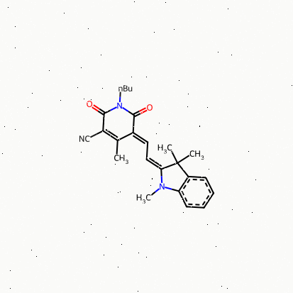 CCCCN1C(=O)C(C#N)=C(C)/C(=C\C=C2\N(C)c3ccccc3C2(C)C)C1=O